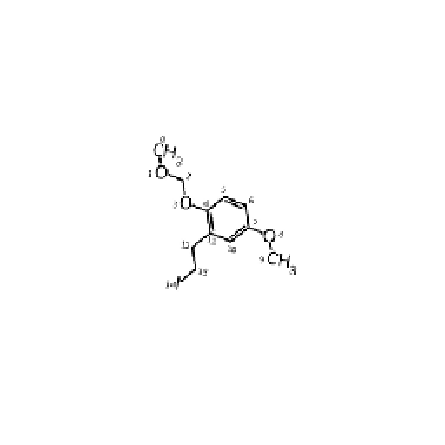 COCOc1ccc(OC)cc1CCI